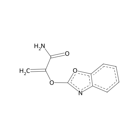 C=C(Oc1nc2ccccc2o1)C(N)=O